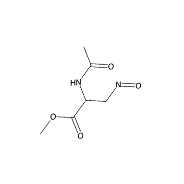 COC(=O)C(CN=O)NC(C)=O